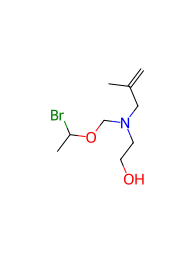 C=C(C)CN(CCO)COC(C)Br